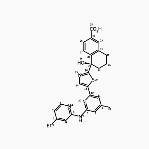 CCc1ccnc(Nc2cc(C)cc(-c3cnc([C@@]4(O)CCCc5cc(C(=O)O)ccc54)s3)n2)c1